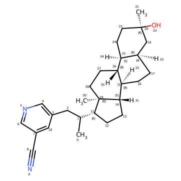 CC(Cc1cncc(C#N)c1)[C@H]1CC[C@H]2[C@@H]3CC[C@@H]4C[C@](C)(O)CC[C@@H]4[C@H]3CC[C@]12C